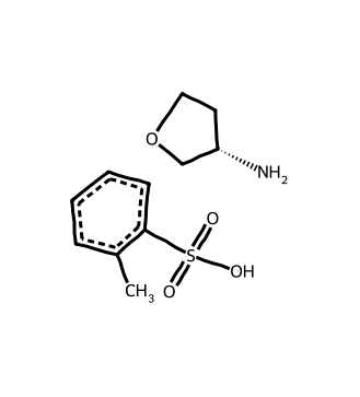 Cc1ccccc1S(=O)(=O)O.N[C@H]1CCOC1